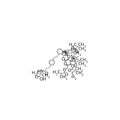 C=C(C)C(=O)OC[C@H]1O[C@@H](Oc2nn(CCOC(=O)C(C)(C)C)c3cccc(CCc4ccc(CCC(=O)NC(C)(C)C(=O)O)cc4)c23)[C@H](OC(=O)C(C)(C)C)[C@@H](OC(=O)C(C)(C)C)[C@@H]1OC(=O)C(C)(C)C